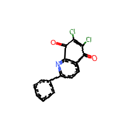 O=C1C(Cl)=C(Cl)C(=O)c2nc(-c3ccccc3)ccc21